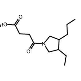 CCCC1CN(C(=O)CCC(=O)O)CC1CC